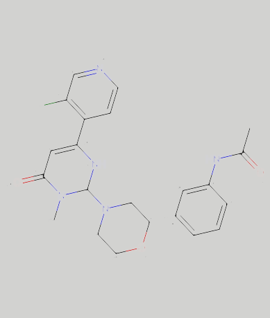 CC(=O)Nc1cccc([C@H]2CN(C3NC(c4ccncc4F)=CC(=O)N3C)CCO2)c1